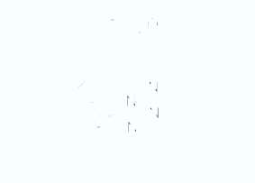 c1ccc(-c2nc(-c3ccccc3)nc(-n3c4ccccc4c4c5cocc5c5c(c43)Cc3ccccc3-c3ccccc3Cc3ccccc3-5)n2)cc1